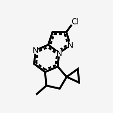 CC1CC2(CC2)c2c1cnc1cc(Cl)nn21